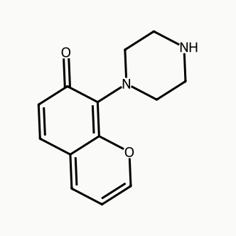 O=c1ccc2cccoc-2c1N1CCNCC1